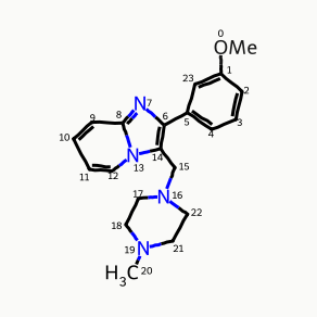 COc1cccc(-c2nc3ccccn3c2CN2CCN(C)CC2)c1